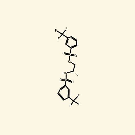 C[C@@H](COS(=O)(=O)c1cccc(C(F)(F)F)c1)NS(=O)(=O)c1cccc(C(F)(F)F)c1